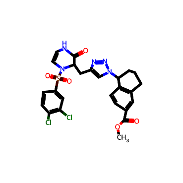 COC(=O)c1ccc2c(c1)CCCC2n1cc(CC2C(=O)NC=CN2S(=O)(=O)c2ccc(Cl)c(Cl)c2)nn1